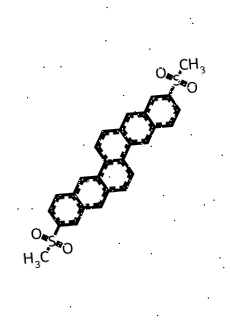 CS(=O)(=O)c1ccc2cc3c(ccc4c5cc6ccc(S(C)(=O)=O)cc6cc5ccc34)cc2c1